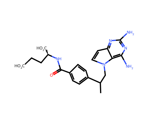 CC(Cn1ccc2nc(N)nc(N)c21)c1ccc(C(=O)N[C@@H](CCC(=O)O)C(=O)O)cc1